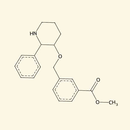 COC(=O)c1cccc(COC2CCCNC2c2ccccc2)c1